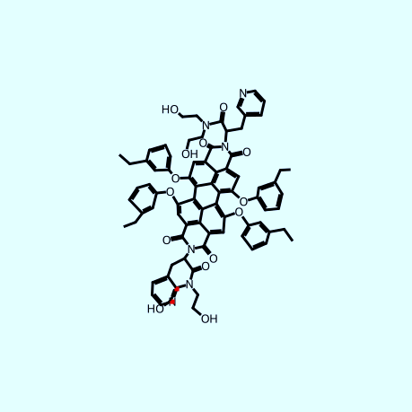 CCc1cccc(Oc2cc3c4c(cc(Oc5cccc(CC)c5)c5c6c(Oc7cccc(CC)c7)cc7c8c(cc(Oc9cccc(CC)c9)c(c2c45)c86)C(=O)N(C(Cc2cccnc2)C(=O)N(CCO)CCO)C7=O)C(=O)N(C(Cc2cccnc2)C(=O)N(CCO)CCO)C3=O)c1